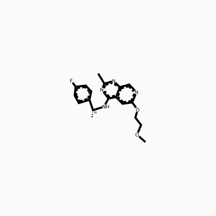 COCCOc1cc2c(N[C@H](C)c3ccc(F)cc3)nc(C)nc2cn1